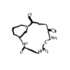 O=C1CCC(=O)N2CCCC(C2)NC(=O)CNC(=O)CN1